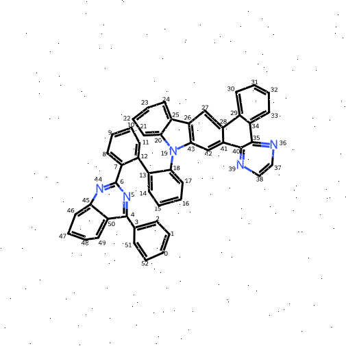 c1ccc(-c2nc(-c3ccccc3-c3ccccc3-n3c4ccccc4c4cc5c6ccccc6c6nccnc6c5cc43)nc3ccccc23)cc1